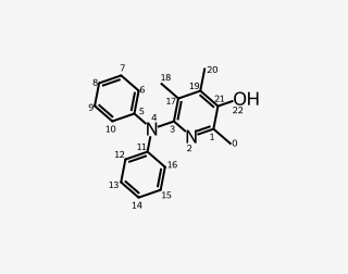 Cc1nc(N(c2ccccc2)c2ccccc2)c(C)c(C)c1O